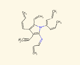 C=C/C=C\c1c(C=C)c(/N=C\C=C)n(C(/C=C\C)=C/C=C)c1C=C